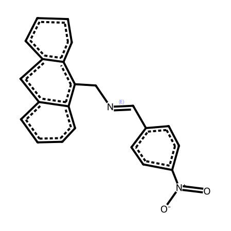 O=[N+]([O-])c1ccc(/C=N/Cc2c3ccccc3cc3ccccc23)cc1